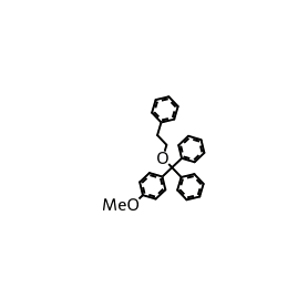 COc1ccc(C(OCCc2ccccc2)(c2ccccc2)c2ccccc2)cc1